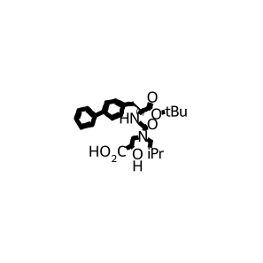 CC(C)CN(CC(O)C(=O)O)C(=O)N[C@@H](Cc1ccc(-c2ccccc2)cc1)C(=O)OC(C)(C)C